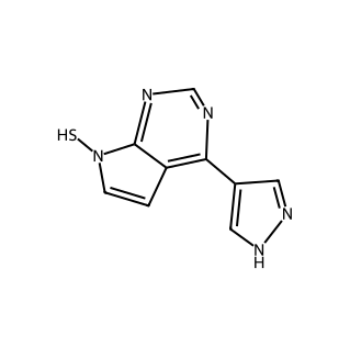 Sn1ccc2c(-c3cn[nH]c3)ncnc21